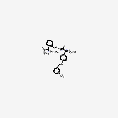 CCO/N=C(/C(C)=N/OCc1ccccc1/C(=N\OC)C(=O)NC)c1ccc(OCc2cccc(C(F)(F)F)c2)cc1